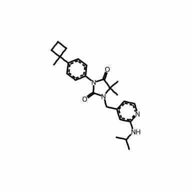 CC(C)Nc1cc(CN2C(=O)N(c3ccc(C4(C)CCC4)cc3)C(=O)C2(C)C)ccn1